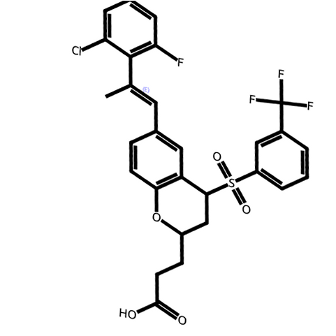 C/C(=C\c1ccc2c(c1)C(S(=O)(=O)c1cccc(C(F)(F)F)c1)CC(CCC(=O)O)O2)c1c(F)cccc1Cl